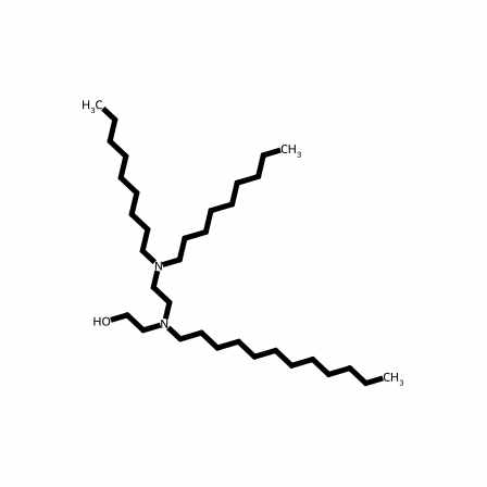 CCCCCCCCCCCCN(CCO)CCN(CCCCCCCCC)CCCCCCCCC